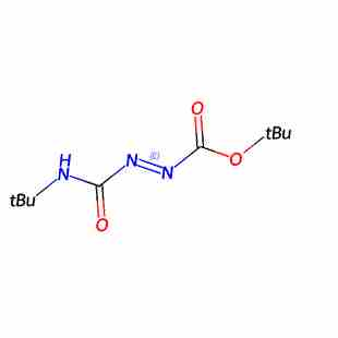 CC(C)(C)NC(=O)/N=N/C(=O)OC(C)(C)C